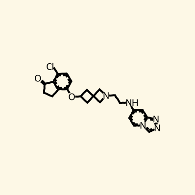 O=C1CCc2c(OC3CC4(C3)CN(CCNc3ccn5cnnc5c3)C4)ccc(Cl)c21